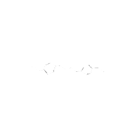 CCCOc1ccc(CCCCc2ccc(OCCC)cc2)cc1